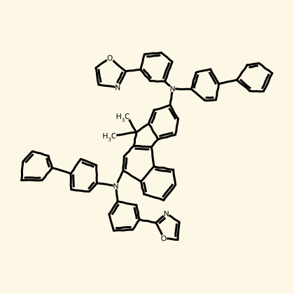 CC1(C)c2cc(N(c3ccc(-c4ccccc4)cc3)c3cccc(-c4ncco4)c3)ccc2-c2c1cc(N(c1ccc(-c3ccccc3)cc1)c1cccc(-c3ncco3)c1)c1ccccc21